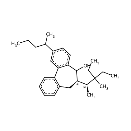 CCCC(C)c1ccc2c(c1)-c1ccccc1C[C@H]([C@H](C)C(C)(CC)CC)C2O